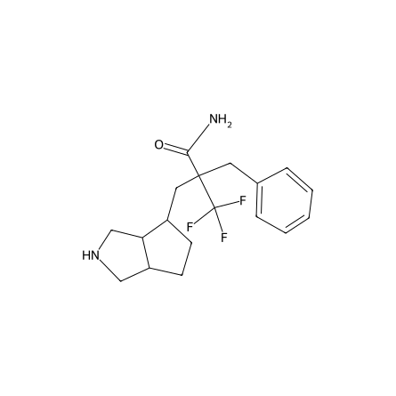 NC(=O)C(Cc1ccccc1)(CC1CCC2CNCC21)C(F)(F)F